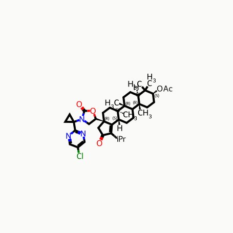 CC(=O)O[C@H]1CC[C@]2(C)C3CC[C@@H]4C5=C(C(C)C)C(=O)C[C@]5(C5CN(C6(c7ncc(Cl)cn7)CC6)C(=O)O5)CC[C@@]4(C)[C@]3(C)CC[C@H]2C1(C)C